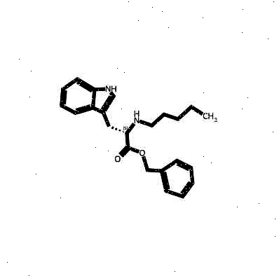 CCCCCN[C@@H](Cc1c[nH]c2ccccc12)C(=O)OCc1ccccc1